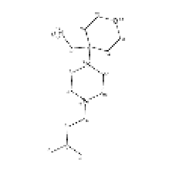 CC(C)CCN1CCN(C2(CN)CCOCC2)CC1